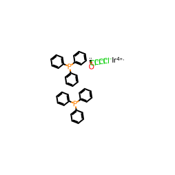 [C]=O.[Cl-].[Cl-].[Cl-].[Cl-].[Ir+4].c1ccc(P(c2ccccc2)c2ccccc2)cc1.c1ccc(P(c2ccccc2)c2ccccc2)cc1